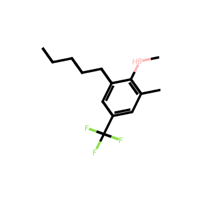 CBc1c(C)cc(C(F)(F)F)cc1CCCCC